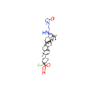 C=C(C)[C@@H]1C[C@@H](NCCCN2CCCC2=O)C2CC[C@]3(C)[C@H](CCC4[C@@]5(C)CC=C(C6=CC[C@](CF)(C(=O)O)CC6)C(C)(C)C5CC[C@]43C)C21